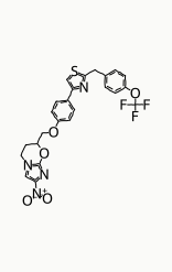 O=[N+]([O-])c1cn2c(n1)OC(COc1ccc(-c3csc(Cc4ccc(OC(F)(F)F)cc4)n3)cc1)CC2